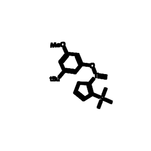 [CH2]=[Ti]([O]c1cc(OC)cc(C(C)(C)C)c1)[C]1=C([Si](C)(C)C)C=CC1